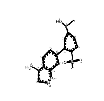 CB(O)c1ccc(S(C)(=O)=O)c(-c2ccc3c(N)cnnc3c2)c1